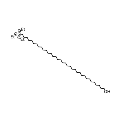 CCO[Si](CCCCCCCCCCCCCCCCCCCCCCCCCCCCCCCCCCCO)(OCC)OCC